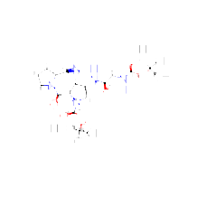 CC(C)(C)OC(=O)NCC(=O)N[C@H]1C[C@@H](C(=O)N2CCCC2C#N)N(C(=O)OC(C)(C)C)C1